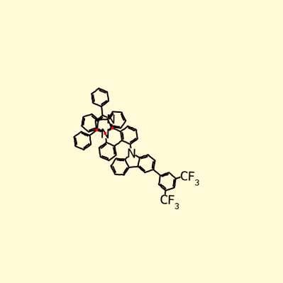 FC(F)(F)c1cc(-c2ccc3c(c2)c2ccccc2n3-c2cccc(-c3nc(-c4ccccc4)cc(-c4ccccc4)n3)c2-c2ccccc2-n2c3ccccc3c3ccccc32)cc(C(F)(F)F)c1